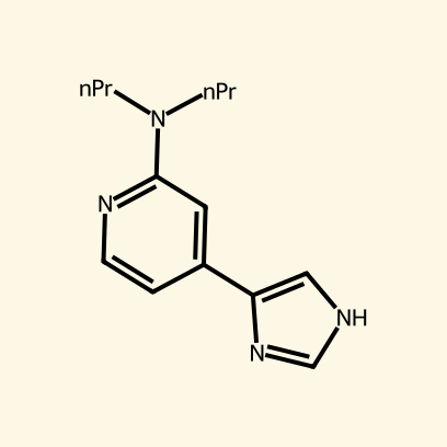 CCCN(CCC)c1cc(-c2c[nH]cn2)ccn1